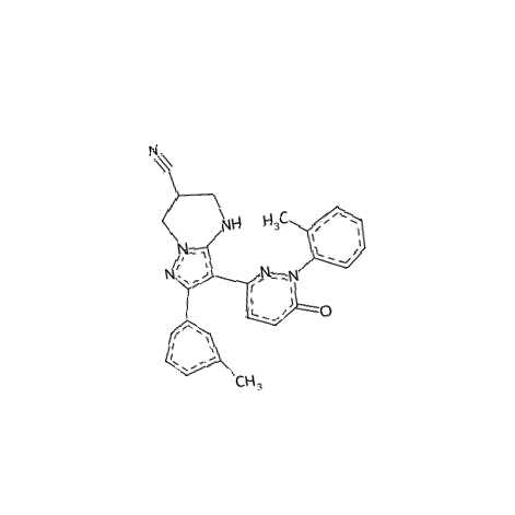 Cc1cccc(-c2nn3c(c2-c2ccc(=O)n(-c4ccccc4C)n2)NCC(C#N)C3)c1